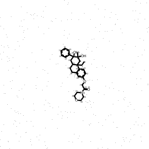 CCC12CC(C)(O)C(O)(c3ccccc3)CC1CCc1cc(OCC(=O)N3CCOCC3)ccc12